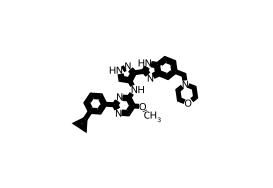 COc1cnc(-c2cccc(C3CC3)c2)nc1Nc1c[nH]nc1-c1nc2cc(CN3CCOCC3)ccc2[nH]1